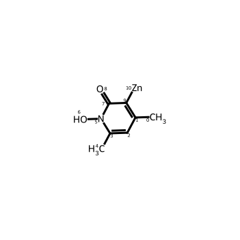 Cc1cc(C)n(O)c(=O)[c]1[Zn]